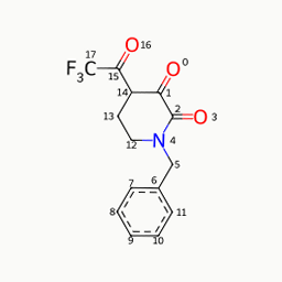 O=C1C(=O)N(Cc2ccccc2)CCC1C(=O)C(F)(F)F